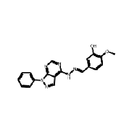 COc1ccc(C=NNc2ncnc3c2cnn3-c2ccccc2)cc1O